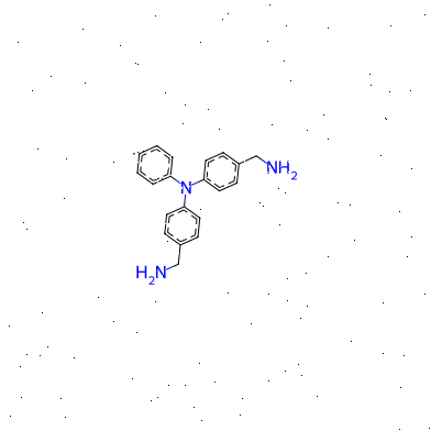 NCc1ccc(N(c2cc[c]cc2)c2ccc(CN)cc2)cc1